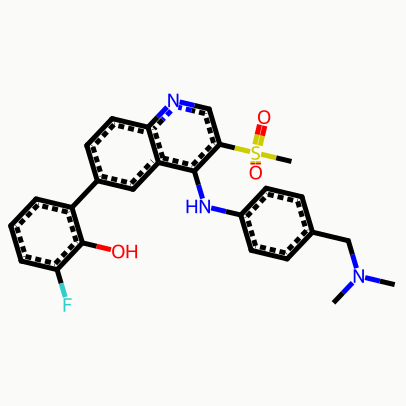 CN(C)Cc1ccc(Nc2c(S(C)(=O)=O)cnc3ccc(-c4cccc(F)c4O)cc23)cc1